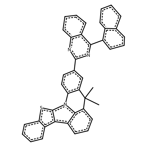 CC1(C)c2cc(-c3nc(-c4cccc5ccccc45)c4ccccc4n3)ccc2-n2c3sc4ccccc4c3c3cccc1c32